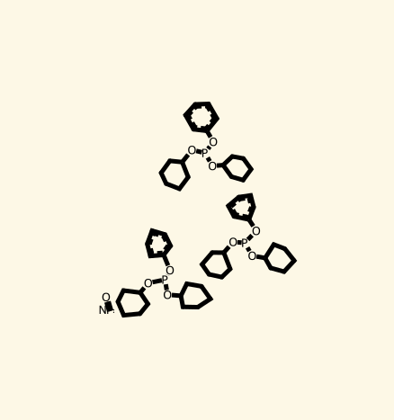 [C]=O.[Ni].c1ccc(OP(OC2CCCCC2)OC2CCCCC2)cc1.c1ccc(OP(OC2CCCCC2)OC2CCCCC2)cc1.c1ccc(OP(OC2CCCCC2)OC2CCCCC2)cc1